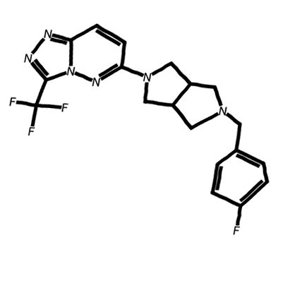 Fc1ccc(CN2CC3CN(c4ccc5nnc(C(F)(F)F)n5n4)CC3C2)cc1